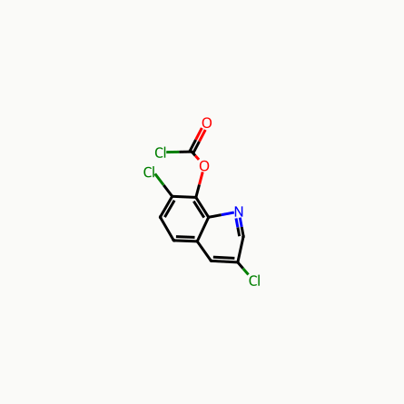 O=C(Cl)Oc1c(Cl)ccc2cc(Cl)cnc12